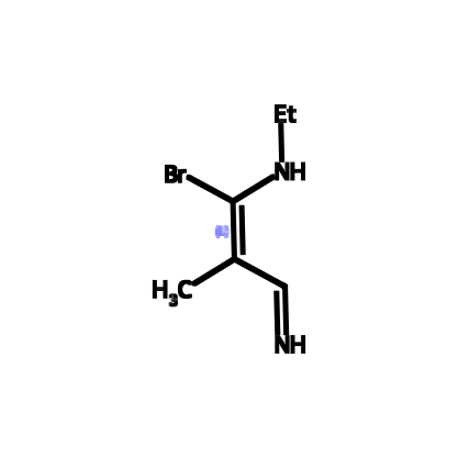 CCN/C(Br)=C(/C)C=N